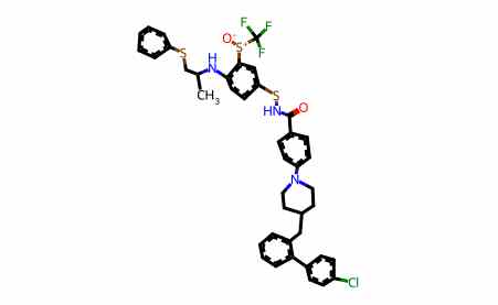 CC(CSc1ccccc1)Nc1ccc(SNC(=O)c2ccc(N3CCC(Cc4ccccc4-c4ccc(Cl)cc4)CC3)cc2)cc1[S+]([O-])C(F)(F)F